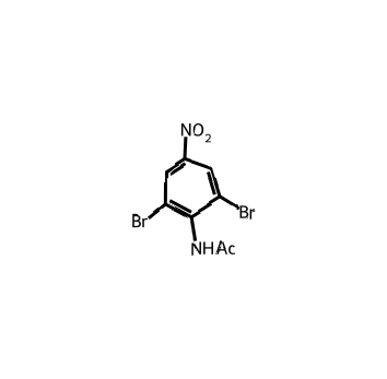 CC(=O)Nc1c(Br)cc([N+](=O)[O-])cc1Br